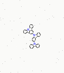 c1ccc2c(c1)c1ccccc1n2-c1ccc2c(c1)c1ccccc1n2-c1cc2c3ccccc3n3c4ccccc4c(c1)c23